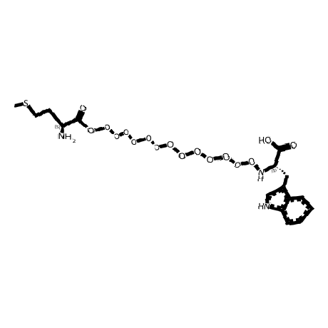 CSCC[C@H](N)C(=O)OOOOOOOOOOOOOON[C@@H](Cc1c[nH]c2ccccc12)C(=O)O